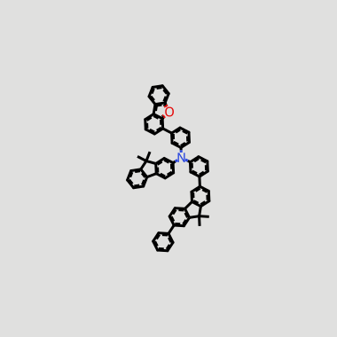 CC1(C)c2ccc(-c3cccc(N(c4cccc(-c5cccc6c5oc5ccccc56)c4)c4ccc5c(c4)C(C)(C)c4ccccc4-5)c3)cc2-c2ccc(-c3ccccc3)cc21